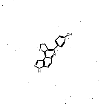 Oc1ccc(-c2nc3ccc4[nH]ncc4c3c3c2CCO3)cc1